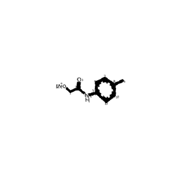 [CH2]OCC(=O)Nc1ccc(C)cc1